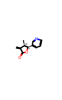 C=C1C(=O)O[C@H](c2cccnc2)[C@@H]1C